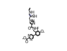 C=CN/C=C(/Cn1cc(C(=O)NCc2c(-c3cnc(C(=O)OC)nc3)ccc(OC)c2F)nn1)NC